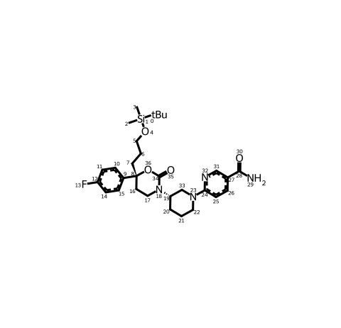 CC(C)(C)[Si](C)(C)OCCC[C@]1(c2ccc(F)cc2)CCN([C@H]2CCCN(c3ccc(C(N)=O)cn3)C2)C(=O)O1